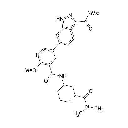 CNC(=O)c1n[nH]c2cc(-c3cnc(OC)c(C(=O)NC4CCCC(C(=O)N(C)C)C4)c3)ccc12